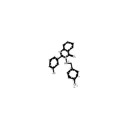 O=c1c2ccccc2nc(-c2cccc(Cl)c2)n1NCc1ccc(C(F)(F)F)cc1